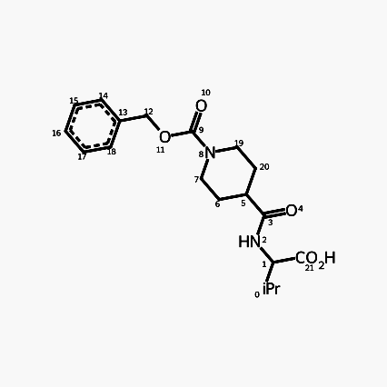 CC(C)C(NC(=O)C1CCN(C(=O)OCc2ccccc2)CC1)C(=O)O